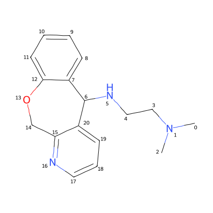 CN(C)CCNC1c2ccccc2OCc2ncccc21